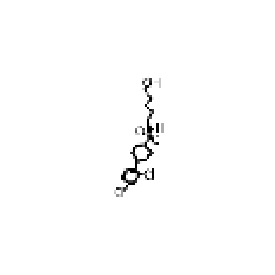 O=S(=O)(NCCCCCO)c1ccc(-c2ccc(Cl)cc2Cl)cc1